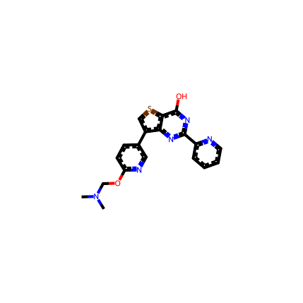 CN(C)COc1ccc(-c2csc3c(O)nc(-c4ccccn4)nc23)cn1